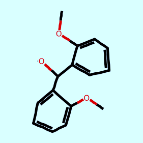 COc1ccccc1C([O])c1ccccc1OC